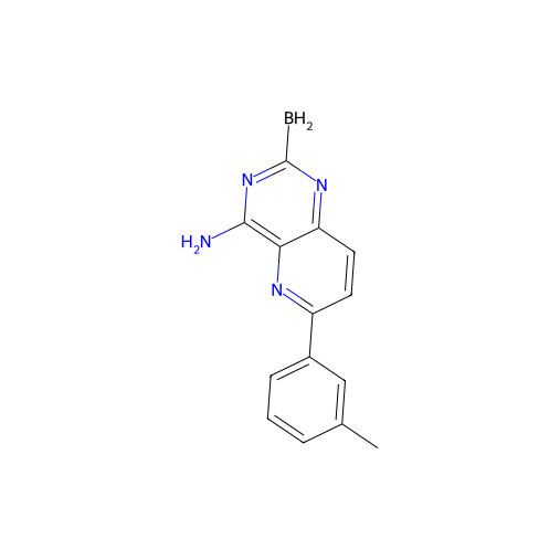 Bc1nc(N)c2nc(-c3cccc(C)c3)ccc2n1